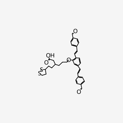 O=Cc1ccc(/C=C/c2ccc(/C=C/c3ccc(C=O)cc3)c(OCCCC(CCC3CCSS3)CC(=O)O)c2)cc1